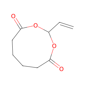 C=CC1OC(=O)CCCCC(=O)O1